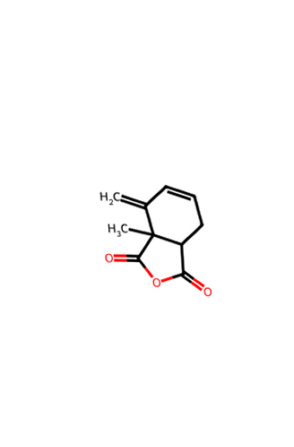 C=C1C=CCC2C(=O)OC(=O)C12C